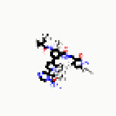 CCC1(C(=O)Nc2cc(-c3ccc(C4(C(C)(C)C)CNCCN4C(N)=O)nc3C)cc(C(=O)NCc3c(C)cc(C)[nH]c3=O)c2C)CC1